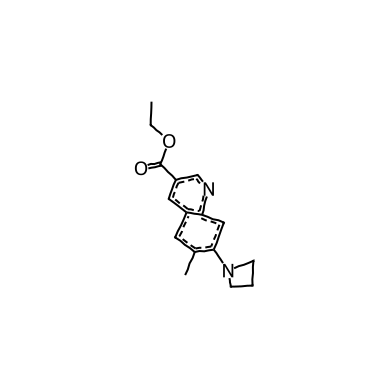 CCOC(=O)c1cnc2cc(N3CCC3)c(C)cc2c1